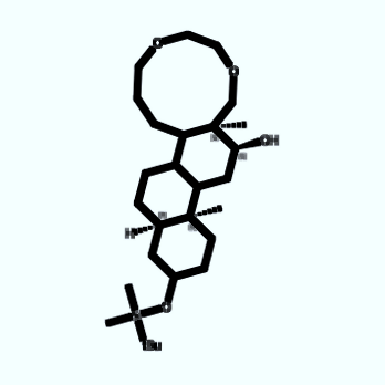 CC(C)(C)[Si](C)(C)OC1CC[C@]2(C)C3C[C@H](O)[C@]4(C)COCCOCCCC4C3CC[C@@H]2C1